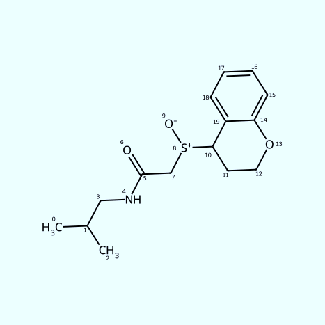 CC(C)CNC(=O)C[S+]([O-])C1CCOc2ccccc21